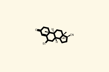 CCC1C[C@H]2[C@@H]3CC[C@H](C#N)[C@@]3(C)CC[C@@H]2[C@@]2(C)CCC(=O)C=C12